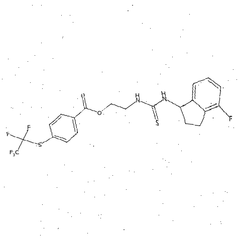 O=C(OCCNC(=S)NC1CCc2c(F)cccc21)c1ccc(SC(F)(F)C(F)(F)F)cc1